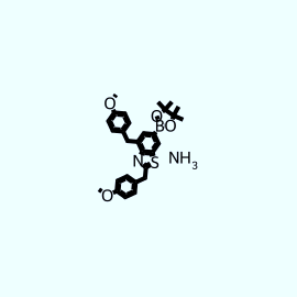 COc1ccc(Cc2nc3c(Cc4ccc(OC)cc4)cc(B4OC(C)(C)C(C)(C)O4)cc3s2)cc1.N